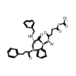 CC(=O)N(C(=O)CCC(=O)OC(=O)C(F)(F)F)N1C(=O)[C@@H](NCc2ccccc2)CN(C(=O)CCc2ccccc2)c2ccccc21